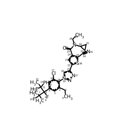 CCc1cc(C(F)(C(C)(C)F)C(C)(P)P)cc(Cl)c1-n1cc(-c2cc(C(=O)N(CC)C3CC3)c(C#N)s2)nn1